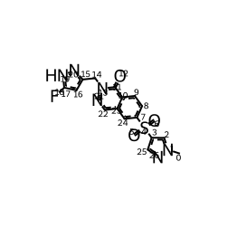 Cn1cc(S(=O)(=O)c2ccc3c(=O)n(Cc4cc(F)[nH]n4)ncc3c2)cn1